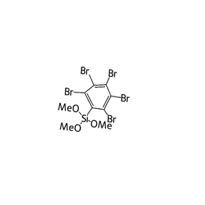 CO[Si](OC)(OC)c1c(Br)c(Br)c(Br)c(Br)c1Br